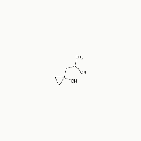 CC(O)CC1(O)CC1